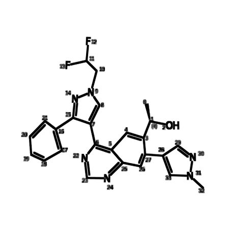 C[C@@H](O)c1cc2c(-c3cn(CC(F)F)nc3-c3ccccc3)ncnc2cc1-c1cnn(C)c1